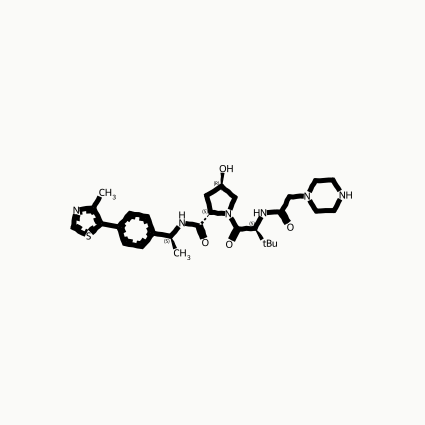 Cc1ncsc1-c1ccc([C@H](C)NC(=O)[C@@H]2C[C@@H](O)CN2C(=O)[C@@H](NC(=O)CN2CCNCC2)C(C)(C)C)cc1